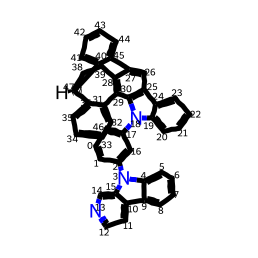 c1cc(-n2c3ccccc3c3ccncc32)cc(-n2c3ccccc3c3cc4c5c(c32)-c2ccccc2[C@H](CC5)c2ccccc2-4)c1